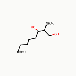 CCCCCCCCCCC[C@@H](O)[C@H](CO)NC(C)=O